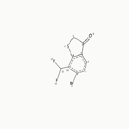 O=C1CSc2c1ccc(Br)c2C(F)F